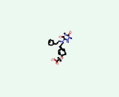 CN1NC(N(CCc2ccccc2)CCc2ccc(OC(C)(C)C(=O)O)cc2)C(=O)N(C)C1=O